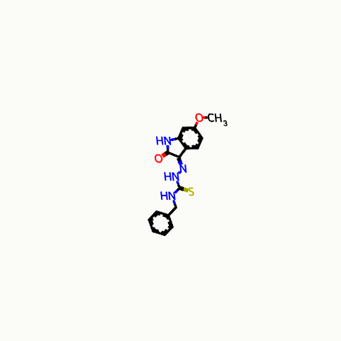 COc1ccc2c(c1)NC(=O)/C2=N\NC(=S)NCc1ccccc1